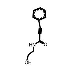 O=C(C#Cc1ccccc1)NCCO